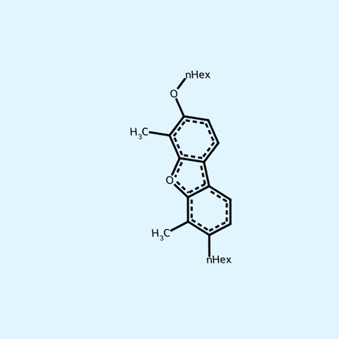 CCCCCCOc1ccc2c(oc3c(C)c(CCCCCC)ccc32)c1C